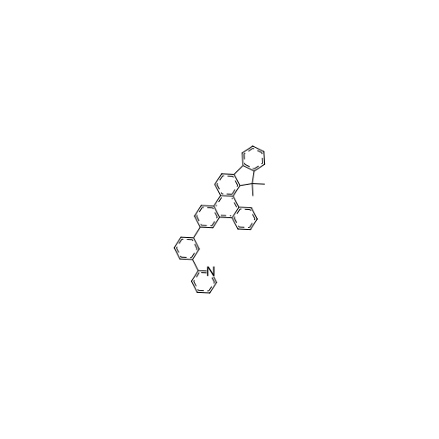 CC1(C)c2ccccc2-c2ccc3c4ccc(-c5cccc(-c6ccccn6)c5)cc4c4ccccc4c3c21